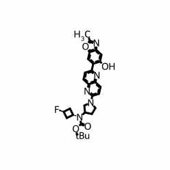 Cc1nc2cc(O)c(-c3ccc4nc(N5CCC(N(C(=O)OC(C)(C)C)[C@H]6C[C@H](F)C6)C5)ccc4n3)cc2o1